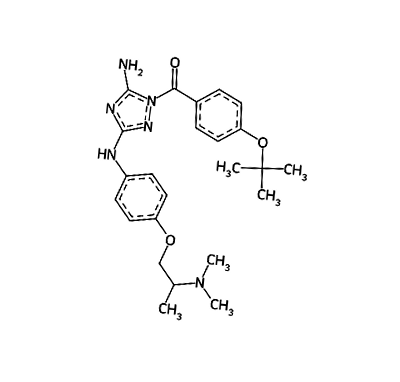 CC(COc1ccc(Nc2nc(N)n(C(=O)c3ccc(OC(C)(C)C)cc3)n2)cc1)N(C)C